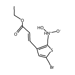 CCOC(=O)/C=C/c1cc(Br)sc1[NH+]([O-])O